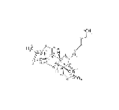 CCCCCOC1=C[C@H]2[C@@H]3CC[C@H](C(C)=O)[C@@]3(C)CC[C@@H]2[C@@]2(C)C=CC(=O)C=C12